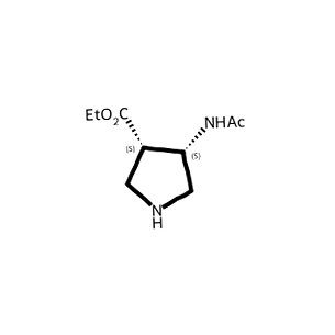 CCOC(=O)[C@H]1CNC[C@H]1NC(C)=O